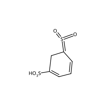 O=S(=O)=C1C=CC=C(S(=O)(=O)O)C1